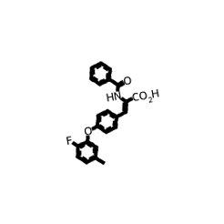 Cc1ccc(F)c(Oc2ccc(/C=C(\NC(=O)c3ccccc3)C(=O)O)cc2)c1